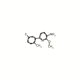 COc1nc(-c2cc(F)ccc2C)ccc1N